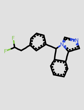 FC(F)Cc1cccc(C2c3ccccc3-c3cncn32)c1